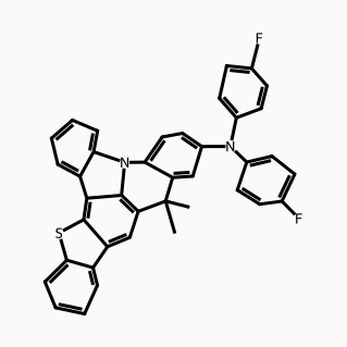 CC1(C)c2cc(N(c3ccc(F)cc3)c3ccc(F)cc3)ccc2-n2c3ccccc3c3c4sc5ccccc5c4cc1c32